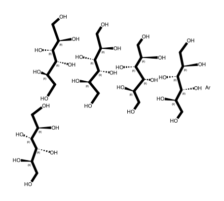 OC[C@@H](O)[C@@H](O)[C@H](O)[C@H](O)CO.OC[C@@H](O)[C@@H](O)[C@H](O)[C@H](O)CO.OC[C@@H](O)[C@@H](O)[C@H](O)[C@H](O)CO.OC[C@@H](O)[C@@H](O)[C@H](O)[C@H](O)CO.OC[C@@H](O)[C@@H](O)[C@H](O)[C@H](O)CO.[Ar]